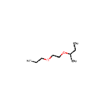 CC(C)(C)CC(OCCOCCC#N)C(C)(C)C